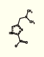 CN(C)Cc1c[nH]c([N+](=O)[O-])n1